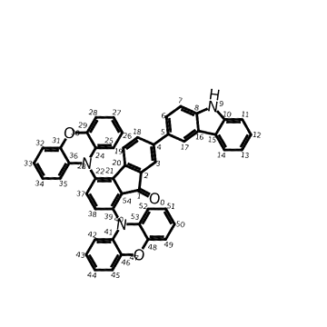 O=C1c2cc(-c3ccc4[nH]c5ccccc5c4c3)ccc2-c2c(N3c4ccccc4Oc4ccccc43)ccc(N3c4ccccc4Oc4ccccc43)c21